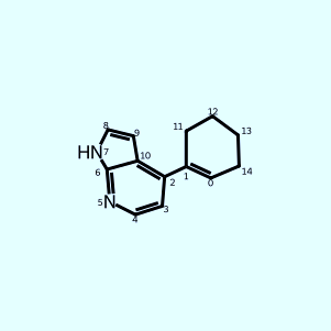 C1=C(c2ccnc3[nH]ccc23)CCCC1